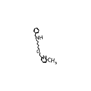 Cc1cccc(CCOCCCCCCNCc2ccccc2)n1